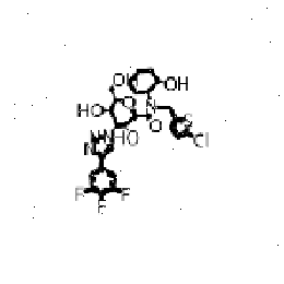 O=C([C@@H]1O[C@H](CO)[C@H](O)[C@H](n2cc(-c3cc(F)c(F)c(F)c3)nn2)[C@H]1O)N(Cc1ccc(Cl)s1)[C@H]1CCCC[C@@H]1O